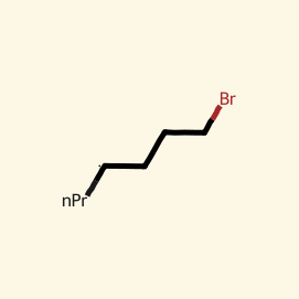 CCC[CH]CCCBr